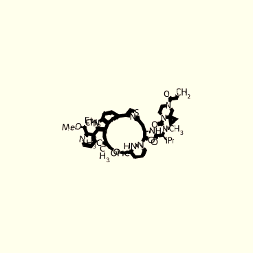 C=CC(=O)N1CCN(C(=O)N(C)[C@H](C(=O)N[C@H]2Cc3nc(cs3)-c3ccc4c(c3)c(c(-c3cccnc3[C@H](C)OC)n4CC)CC(C)(C)COCC3(C=O)CCCN(N3)C2=O)C(C)C)C2(CC2)C1